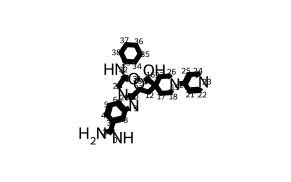 N=C(N)c1ccc2c(c1)nc(CCC1(C(=O)O)CCN(c3ccncc3)CC1)n2CC(=O)NC1CCCCC1